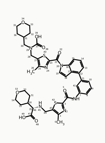 Cc1nc(C(=O)Nc2cccc(-c3cccc4c3ccn4C(=O)c3nc(C)c(CN(CC4CCOCC4)C(=O)O)s3)c2)sc1CN[C@H](C(=O)O)C1CCOCC1